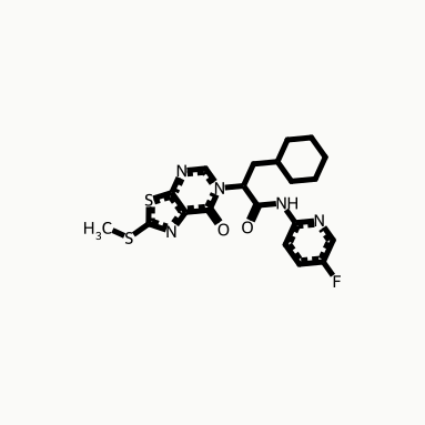 CSc1nc2c(=O)n(C(CC3CCCCC3)C(=O)Nc3ccc(F)cn3)cnc2s1